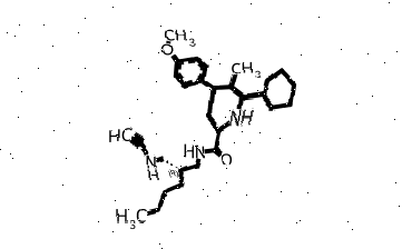 C#CNC[C@@H](CCCC)CNC(=O)C1CC(c2ccc(OC)cc2)C(C)C(C2CCCCC2)N1